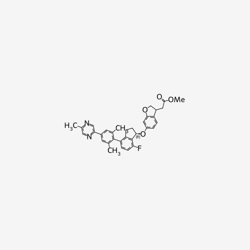 COC(=O)CC1COc2cc(O[C@@H]3CCc4c(-c5c(C)cc(-c6cnc(C)cn6)cc5C)ccc(F)c43)ccc21